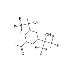 CC(=O)C1CC(C(C)(O)C(F)(F)F)CC(C(O)(C(F)(F)F)C(F)(F)F)C1